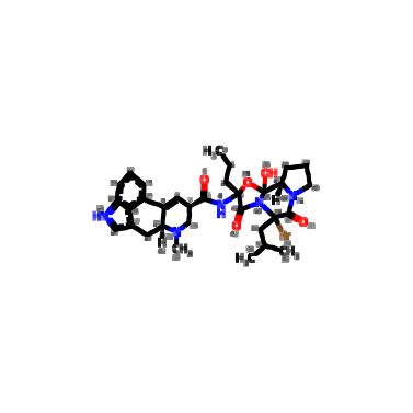 CCC[C@@]1(NC(=O)[C@@H]2C=C3c4cccc5[nH]cc(c45)C[C@H]3N(C)C2)OC2(O)[C@@H]3CCCN3C(=O)C(Br)(CC(C)C)N2C1=O